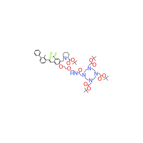 Cc1c(/C=C/c2cc(OCCOCCNC(=O)CN3CCN(CC(=O)OC(C)(C)C)CCN(CC(=O)OC(C)(C)C)CCN(CC(=O)OC(C)(C)C)CC3)c(CN3CCCC[C@H]3C(=O)OC(C)(C)C)cc2C(F)(F)F)cccc1-c1ccccc1